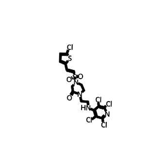 O=C1CN(S(=O)(=O)C=Cc2ccc(Cl)s2)CCN1CCNc1c(Cl)c(Cl)nc(Cl)c1Cl